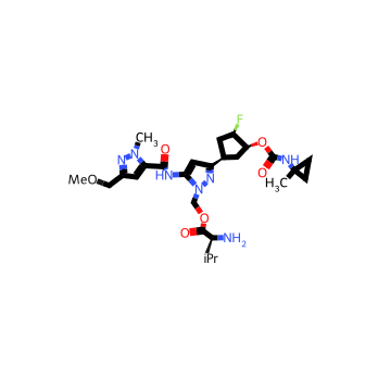 COCc1cc(C(=O)Nc2cc([C@H]3C[C@@H](F)[C@@H](OC(=O)NC4(C)CC4)C3)nn2COC(=O)[C@@H](N)C(C)C)n(C)n1